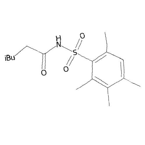 CCC(C)CC(=O)NS(=O)(=O)c1c(C)cc(C)c(C)c1C